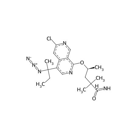 CCC(C)(N=[N+]=[N-])c1cnc(O[C@@H](C)CC(C)(C)[SH](=N)=O)c2cnc(Cl)cc12